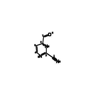 N#Cc1nccc(C=O)n1